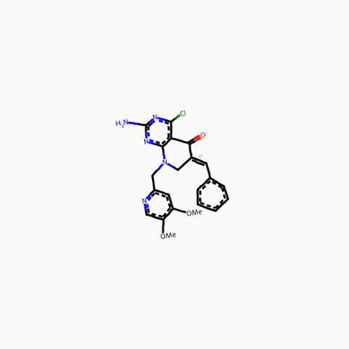 COc1cnc(CN2C/C(=C\c3ccccc3)C(=O)c3c(Cl)nc(N)nc32)cc1OC